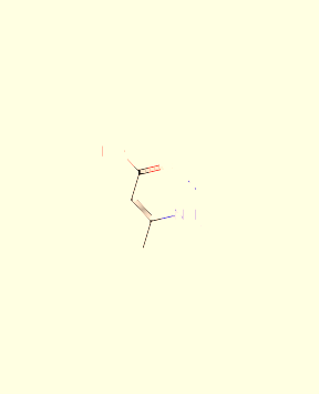 C/C(N)=C/C(=O)O.N